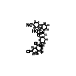 N#Cc1cccc(C2(O)C(=O)N(C[C@H]3CC[C@H](NC(=O)c4cc(Cl)cnc4C(F)F)CC3)c3ccccc32)c1